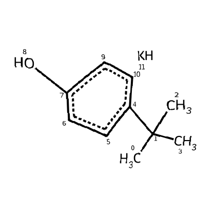 CC(C)(C)c1ccc(O)cc1.[KH]